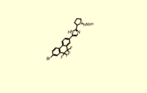 CCCCCCCCCN1CCCC1c1ncc(-c2ccc3c(c2)C(F)(F)C(F)(F)c2cc(Br)ccc2-3)[nH]1